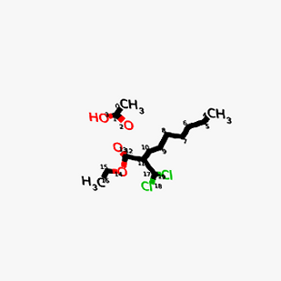 CC(=O)O.CCCCCCCC(C(=O)OCC)C(Cl)Cl